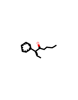 CC=C(C(=O)CCCC)c1ccccc1